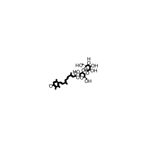 COc1cc(C)c(C=CC(C)=CC=CC(C)=CC(=O)OC2O[C@H](CO)[C@@H](O[C@H]3O[C@H](CO)[C@@H](O)[C@H](O)[C@H]3O)[C@H](O)[C@H]2O)c(C)c1C